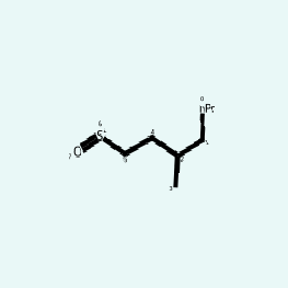 CCCCC(C)CC[S+]=O